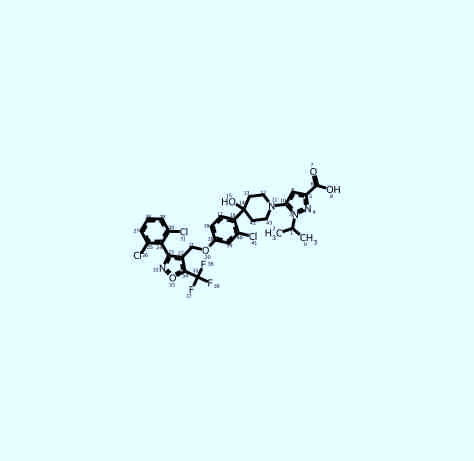 CC(C)n1nc(C(=O)O)cc1N1CCC(O)(c2ccc(OCc3c(-c4c(Cl)cccc4Cl)noc3C(F)(F)F)cc2Cl)CC1